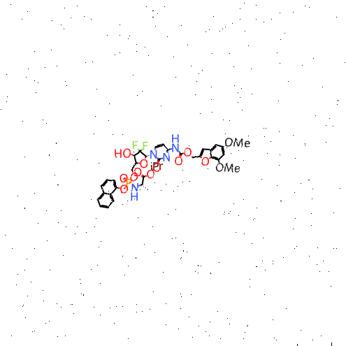 COc1cc(OC)c2oc(COC(=O)Nc3ccn([C@@H]4OC(COP(=O)(N[C@@H](C)C(=O)OC(C)C)Oc5cccc6ccccc56)[C@@H](O)C4(F)F)c(=O)n3)cc2c1